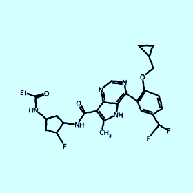 CCC(=O)NC1CC(F)C(NC(=O)c2c(C)[nH]c3c(-c4cc(C(F)F)ccc4OCC4CC4)ncnc23)C1